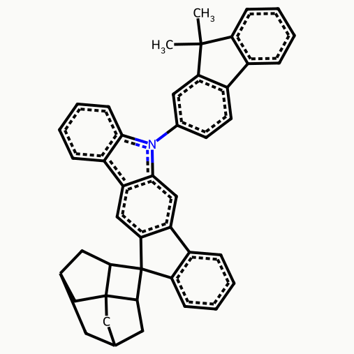 CC1(C)c2ccccc2-c2ccc(-n3c4ccccc4c4cc5c(cc43)-c3ccccc3C53C4CC5CC6CC3C4(C5)C6)cc21